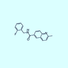 Cc1ccc2cc(C(=O)NCc3ccccc3F)ccc2n1